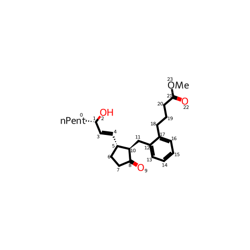 CCCCC[C@H](O)/C=C/[C@H]1CCC(=O)[C@@H]1Cc1ccccc1CCCC(=O)OC